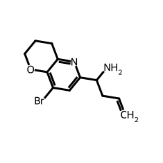 C=CCC(N)c1cc(Br)c2c(n1)CCCO2